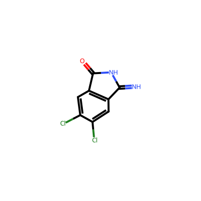 N=C1NC(=O)c2cc(Cl)c(Cl)cc21